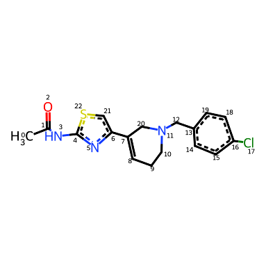 CC(=O)Nc1nc(C2=CCCN(Cc3ccc(Cl)cc3)C2)cs1